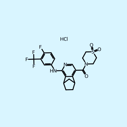 Cl.O=C(c1cnc(Nc2ccc(F)c(C(F)(F)F)c2)c2c1C1CCC2C1)N1CCS(=O)(=O)CC1